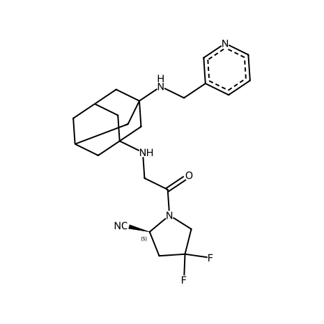 N#C[C@@H]1CC(F)(F)CN1C(=O)CNC12CC3CC(C1)CC(NCc1cccnc1)(C3)C2